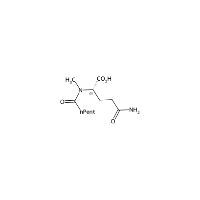 CCCCCC(=O)N(C)[C@@H](CCC(N)=O)C(=O)O